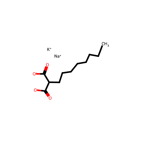 CCCCCCCCC(C(=O)[O-])C(=O)[O-].[K+].[Na+]